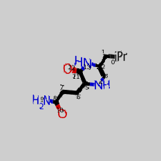 CC(C)CC1=CNC(CCC(N)=O)C(=O)N1